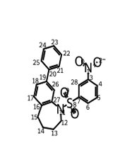 O=[N+]([O-])c1cccc(S(=O)(=O)N2CCCCc3ccc(-c4ccccc4)cc32)c1